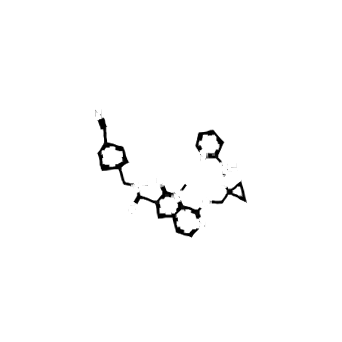 Cn1c(=O)c(C(=O)NCc2ccc(C#N)cc2)cc2ccnc(OCC3(SNc4ccccn4)CC3)c21